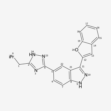 CC(C)Cc1nc(-c2ccc3[nH]nc(-c4cc5ccccc5o4)c3c2)n[nH]1